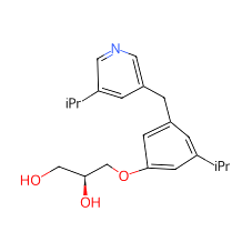 CC(C)c1cncc(Cc2cc(OC[C@@H](O)CO)cc(C(C)C)c2)c1